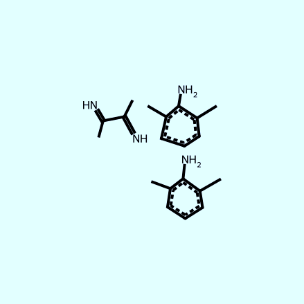 CC(=N)C(C)=N.Cc1cccc(C)c1N.Cc1cccc(C)c1N